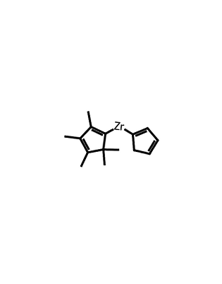 CC1=C(C)C(C)(C)[C]([Zr][C]2=CC=CC2)=C1C